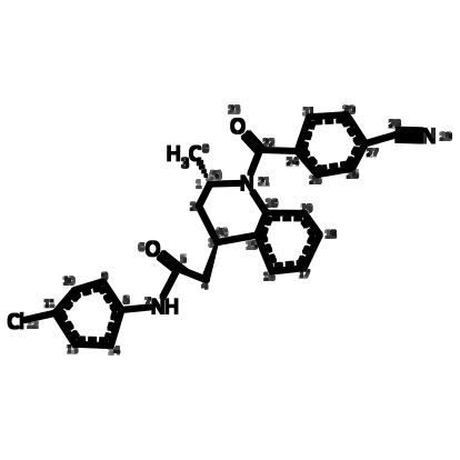 C[C@H]1C[C@H](CC(=O)Nc2ccc(Cl)cc2)c2ccccc2N1C(=O)c1ccc(C#N)cc1